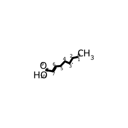 CCC[CH]CCC=CC(=O)O